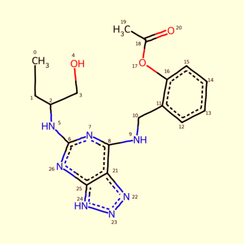 CCC(CO)Nc1nc(NCc2ccccc2OC(C)=O)c2nn[nH]c2n1